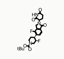 CC(C)(C)OC(=O)N1CC[C@@H](c2ccc3c(c2F)CN(C2CCC(=O)NC2=O)C3=O)[C@@H](F)C1